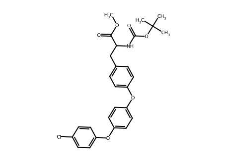 COC(=O)C(Cc1ccc(Oc2ccc(Oc3ccc(Cl)cc3)cc2)cc1)NC(=O)OC(C)(C)C